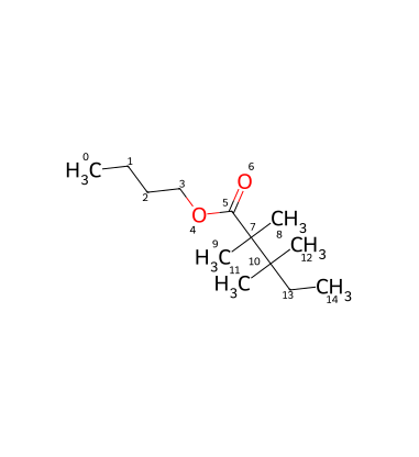 CCCCOC(=O)C(C)(C)C(C)(C)CC